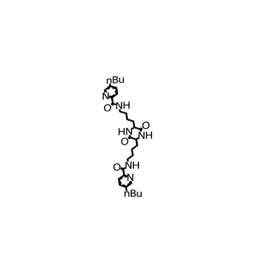 CCCCc1ccc(C(=O)NCCCCC2NC(=O)C(CCCCNC(=O)c3ccc(CCCC)cn3)NC2=O)nc1